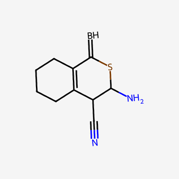 B=C1SC(N)C(C#N)C2=C1CCCC2